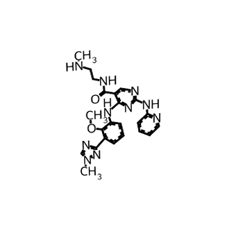 CNCCNC(=O)c1cnc(Nc2ccccn2)nc1Nc1cccc(-c2ncn(C)n2)c1OC